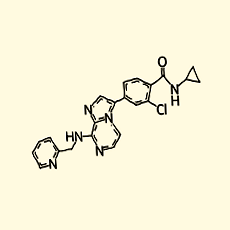 O=C(NC1CC1)c1ccc(-c2cnc3c(NCc4ccccn4)nccn23)cc1Cl